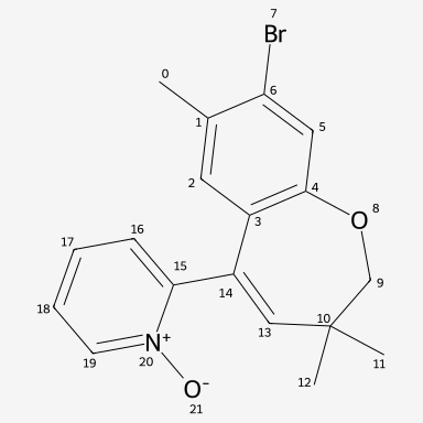 Cc1cc2c(cc1Br)OCC(C)(C)C=C2c1cccc[n+]1[O-]